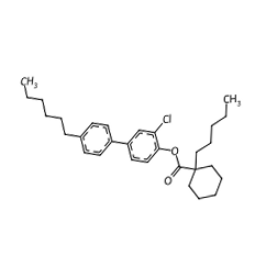 CCCCCCc1ccc(-c2ccc(OC(=O)C3(CCCCC)CCCCC3)c(Cl)c2)cc1